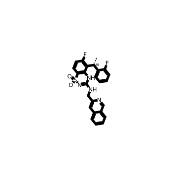 C[C@H](c1ccccc1F)c1c(F)ccc2c1NC(NCc1cc3ccccc3cn1)=NS2(=O)=O